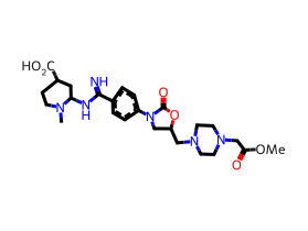 COC(=O)CN1CCN(CC2CN(c3ccc(C(=N)NC4CC(C(=O)O)CCN4C)cc3)C(=O)O2)CC1